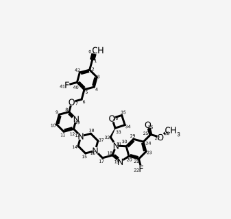 C#Cc1ccc(COc2cccc(N3CCN(Cc4nc5c(F)cc(C(=O)OC)cc5n4C[C@@H]4CCO4)CC3)n2)c(F)c1